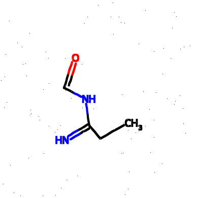 CCC(=N)NC=O